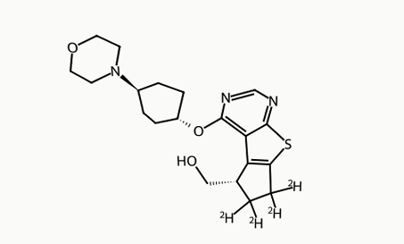 [2H]C1([2H])c2sc3ncnc(O[C@H]4CC[C@H](N5CCOCC5)CC4)c3c2[C@@H](CO)C1([2H])[2H]